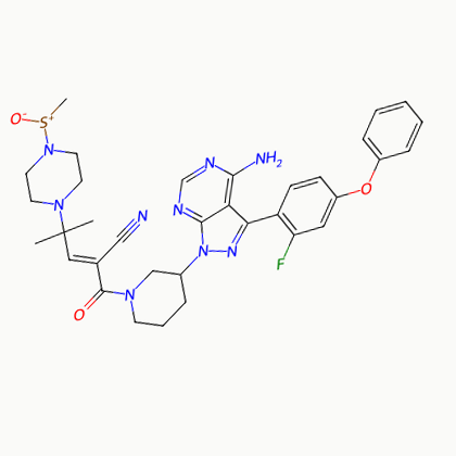 C[S+]([O-])N1CCN(C(C)(C)C=C(C#N)C(=O)N2CCCC(n3nc(-c4ccc(Oc5ccccc5)cc4F)c4c(N)ncnc43)C2)CC1